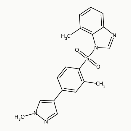 Cc1cc(-c2cnn(C)c2)ccc1S(=O)(=O)n1cnc2cccc(C)c21